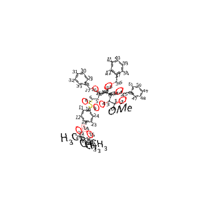 COC(=O)C1OC(CS(=O)(=O)c2ccc(B3OC(C)(C)C(C)(C)O3)cc2)[C@@H](OCc2ccccc2)[C@H](OCc2ccccc2)[C@@H]1OCc1ccccc1